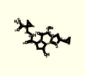 CC(C)(C)[C@@H](C(=O)N1CC(O)CC1C(=O)NCC1(C(N)=O)CC1)n1cc(C2CC2)nn1